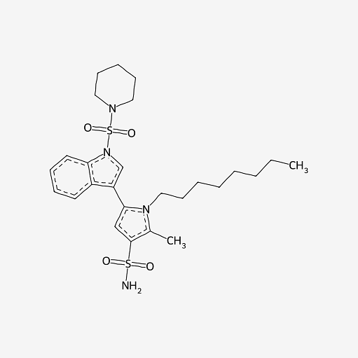 CCCCCCCCn1c(-c2cn(S(=O)(=O)N3CCCCC3)c3ccccc23)cc(S(N)(=O)=O)c1C